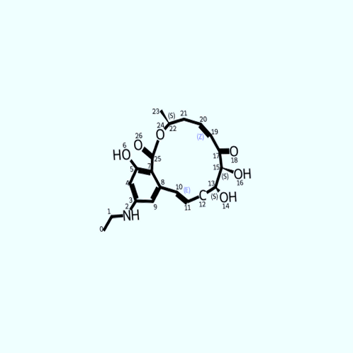 CCNc1cc(O)c2c(c1)/C=C/C[C@H](O)[C@H](O)C(=O)/C=C\C[C@H](C)OC2=O